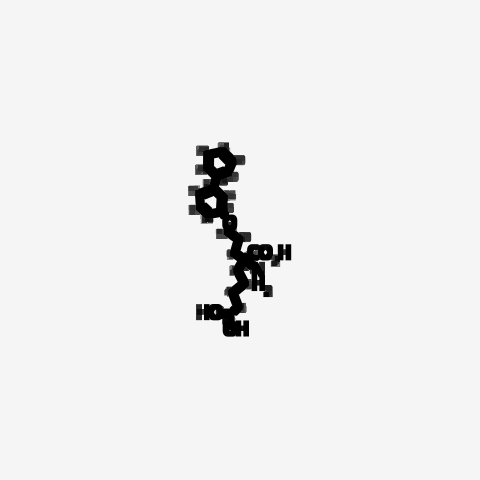 NC(CCCCB(O)O)(CCCOc1cccc(-c2ccccc2)c1)C(=O)O